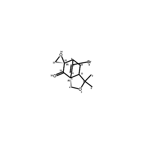 CC1(C)OC[C@]23C=C(Br)C(CC12)[C@@]1(CO1)C3=O